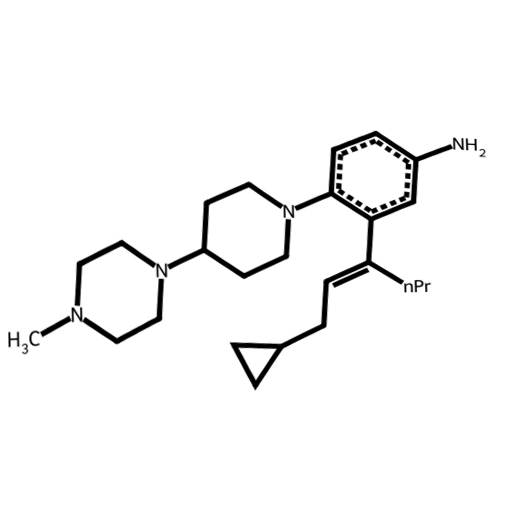 CCC/C(=C\CC1CC1)c1cc(N)ccc1N1CCC(N2CCN(C)CC2)CC1